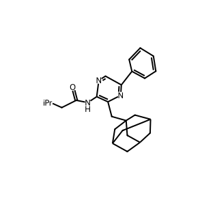 CC(C)CC(=O)Nc1ncc(-c2ccccc2)nc1CC12CC3CC(CC(C3)C1)C2